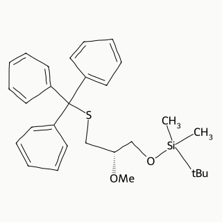 CO[C@@H](CO[Si](C)(C)C(C)(C)C)CSC(c1ccccc1)(c1ccccc1)c1ccccc1